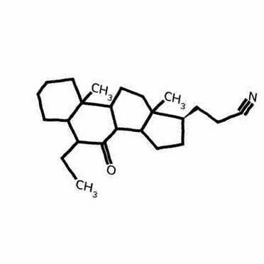 CCC1C(=O)C2C(CCC3(C)C2CC[C@@H]3CCC#N)C2(C)CCCCC12